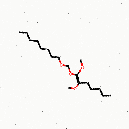 CCCCCCCCOCO/C(OC)=C(/CCCCC)OC